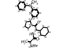 CN[C@@H](C)C(=O)N[C@H](C(=O)N1CCC[C@H]1c1cccc(N(C)c2ccccn2)n1)C1CCCCC1